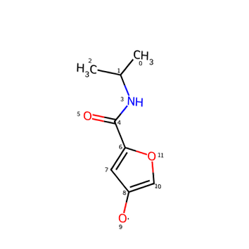 CC(C)NC(=O)c1cc([O])co1